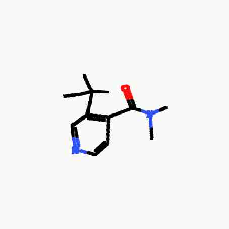 CN(C)C(=O)c1ccncc1C(C)(C)C